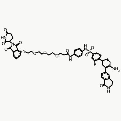 NC1=C(c2ccc3c(c2)CCNC3=O)CC(c2ccc(S(=O)(=O)Nc3ccc(NC(=O)CCOCCOCCOCCNc4cccc5c4C(=O)N(C4CCC(=O)NC4=O)C5=O)cc3)cc2F)C=N1